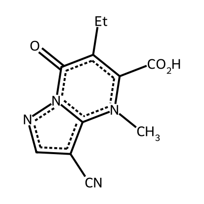 CCc1c(C(=O)O)n(C)c2c(C#N)cnn2c1=O